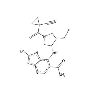 N#CC1(C(=O)N2C[C@H](CF)[C@H](Nc3c(C(N)=O)cnn4cc(Br)nc34)C2)CC1